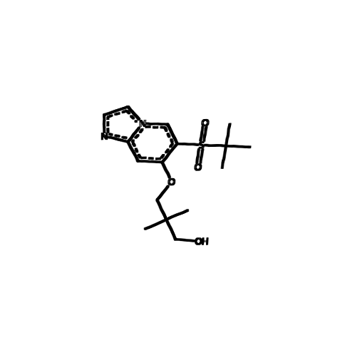 CC(C)(CO)COc1cc2nccn2cc1S(=O)(=O)C(C)(C)C